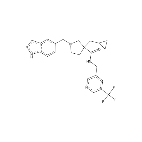 O=C(NCc1cncc(C(F)(F)F)c1)C1(CC2CC2)CCN(Cc2ccc3[nH]ncc3c2)C1